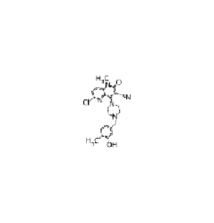 Cc1ccc(CN2CCN(c3c(C#N)c(=O)n(C)c4ccc(Cl)nc34)CC2)cc1O